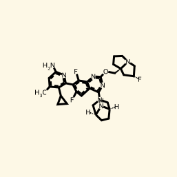 Cc1cc(N)nc(-c2c(F)cc3c(N4C[C@H]5CC[C@@H](C4)N5)nc(OC[C@@]45CCCN4C[C@H](F)C5)nc3c2F)c1C1CC1